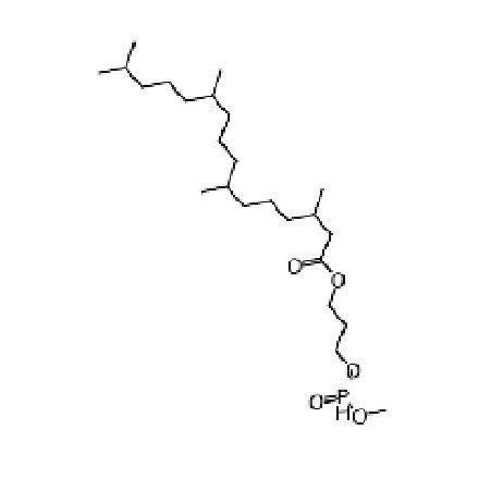 CO[PH](=O)OCCCOC(=O)CC(C)CCCC(C)CCCC(C)CCCC(C)C